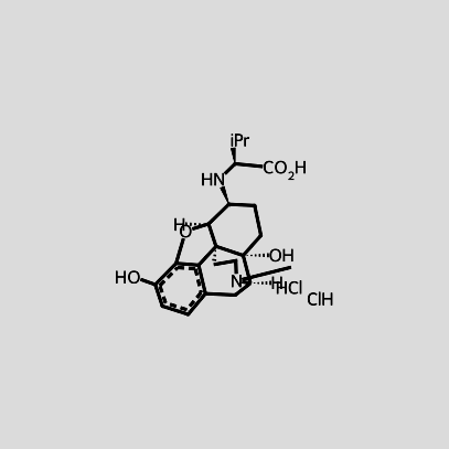 CC(C)[C@H](N[C@H]1CC[C@@]2(O)[C@H]3Cc4ccc(O)c5c4[C@@]2(CCN3C)[C@H]1O5)C(=O)O.Cl.Cl